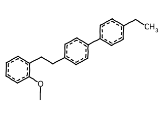 CCc1ccc(-c2ccc(CCc3ccccc3OI)cc2)cc1